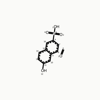 C=O.O=S(=O)(O)c1ccc2cc(O)ccc2c1